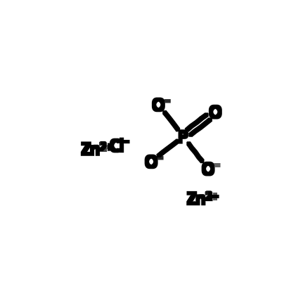 O=P([O-])([O-])[O-].[Cl-].[Zn+2].[Zn+2]